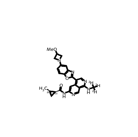 [2H]C([2H])([2H])Nc1ncc(-c2nc3cc(N4CC(OC)C4)ccc3o2)c2cc(NC(=O)[C@H]3C[C@H]3C)ncc12